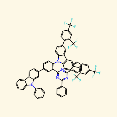 FC(F)(F)c1ccc(-c2ccc3c(c2)c2cc(-c4ccc(C(F)(F)F)cc4C(F)(F)F)ccc2n3-c2ccc(-c3ccc4c5ccccc5n(-c5ccccc5)c4c3)cc2-c2nc(-c3ccccc3)nc(-c3ccccc3)n2)c(C(F)(F)F)c1